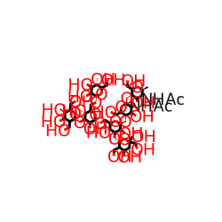 CC(=O)NC1C(O)[C@H](O[C@@H]2OC(CO[C@H]3OC(CO[C@H]4OC(CO)[C@@H](O)C(O)C4O)[C@@H](O)C(O[C@@H]4OC(CO)[C@H](O)C(O)C4CO)C3O)[C@@H](O)C(O[C@@H]3OC(CO)(CO)CC(O)C3CO)C2O)C(CO)O[C@H]1O[C@@H]1C(CO)O[C@@H](C)C(NC(C)=O)C1O